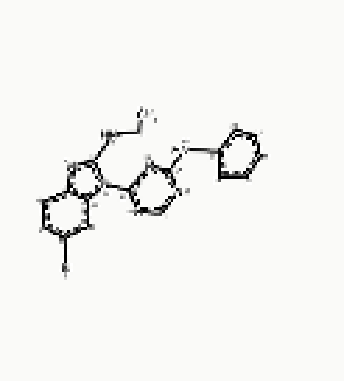 CCNc1nc2ccc(Br)cc2n1-c1ncnc(Nc2ccccc2)n1